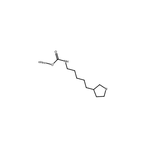 CCCCCCOC(=O)NCCCCCC1CC[N]C1